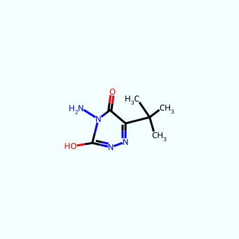 CC(C)(C)c1nnc(O)n(N)c1=O